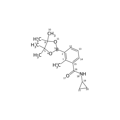 Cc1c(B2OC(C)(C)C(C)(C)O2)cccc1C(=O)NC1CC1